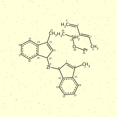 C=CC=CC.CC1=C[CH]([Zr][CH]2C=C(C)c3ccccc32)c2ccccc21.C[SiH2]OC(C)C